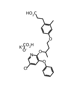 Cc1cc(OCCC(C)Oc2ncc(Cl)cc2Oc2ccccc2)ccc1CCC(=O)O.O=C([O-])O.[K+]